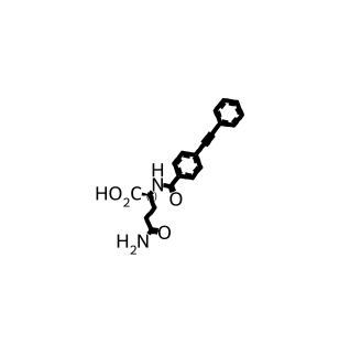 NC(=O)CC[C@H](NC(=O)c1ccc(C#Cc2ccccc2)cc1)C(=O)O